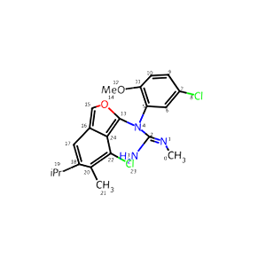 CN=C(N)N(c1cc(Cl)ccc1OC)c1occ2cc(C(C)C)c(C)c(Cl)c12